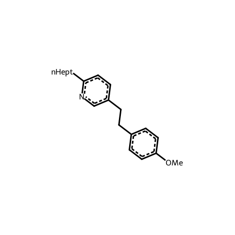 CCCCCCCc1ccc(CCc2ccc(OC)cc2)cn1